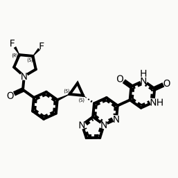 O=C(c1cccc([C@H]2C[C@@H]2c2cc(-c3c[nH]c(=O)[nH]c3=O)nn3ccnc23)c1)N1C[C@@H](F)[C@@H](F)C1